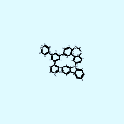 c1ccc2c(c1)c1ccccc1n2-c1ccc2c(c1)-c1cc(-c3cc(-c4ccncc4)cc(-c4ccncc4)c3)ccc1OCO2